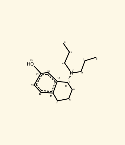 CCCN(CCC)[C@@H]1CCCc2ccc(O)cc21